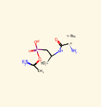 CC[C@H](C)[C@H](N)C(=O)NC(CP(=O)(O)OC(C)N)C(=O)O